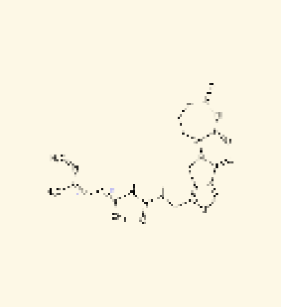 C=N/C(C)=C\C=C(/C)NC(=O)NCc1scc2c1CN([C@H]1CCCC(=O)NC1=O)C2=O